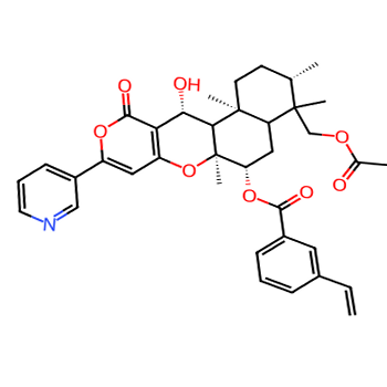 C=Cc1cccc(C(=O)O[C@H]2CC3C(C)(COC(C)=O)[C@@H](C)CC[C@]3(C)C3[C@@H](O)c4c(cc(-c5cccnc5)oc4=O)O[C@@]32C)c1